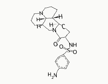 Nc1ccc(S(=O)(=O)NC2CC[C@@H]3[C@H]4CCCN5CCC[C@@H](CN3C2=O)[C@@H]45)cc1